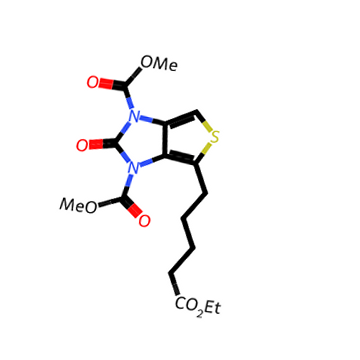 CCOC(=O)CCCCc1scc2c1n(C(=O)OC)c(=O)n2C(=O)OC